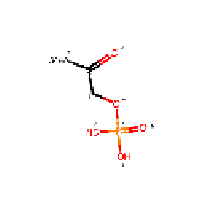 CNC(=O)COP(=O)(O)O